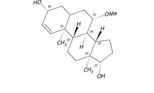 CO[C@H]1CC2C[C@@H](O)C=C[C@]2(C)[C@H]2CC[C@]3(C)[C@@H](O)CC[C@H]3[C@H]12